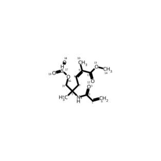 C=CC(=O)NC(C)(CC=C(C)C(=O)OC)CO[SH](=O)=O